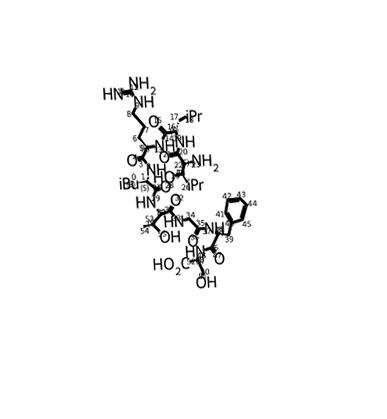 CC[C@H](C)[C@H](NC(=O)[C@@H](CCCNC(=N)N)NC(=O)[C@H](CC(C)C)NC(=O)[C@@H](N)[C@H](O)C(C)C)C(=O)N[C@H](C(=O)NCC(=O)N[C@@H](Cc1ccccc1)C(=O)N[C@@H](CO)C(=O)O)[C@H](C)O